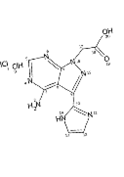 Cl.Cl.Nc1ncnc2c1c(-c1ncc[nH]1)nn2CC(=O)O